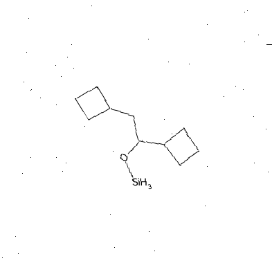 [SiH3]OC(CC1CCC1)C1CCC1